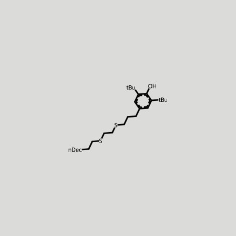 CCCCCCCCCCCCSCCSCCCc1cc(C(C)(C)C)c(O)c(C(C)(C)C)c1